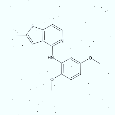 COc1ccc(OC)c(Nc2nccc3sc(C)cc23)c1